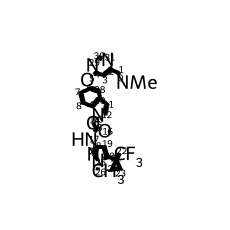 CNCc1cc(Oc2ccc3c(ccn3OC(=O)Nc3cc(C4(C(F)(F)F)CC4)n(C)n3)c2)ncn1